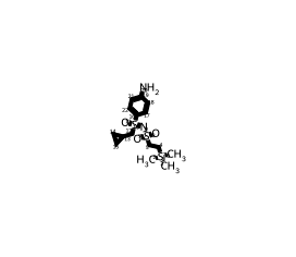 C[Si](C)(C)CCS(=O)(=O)N=S(=O)(CC1CC1)c1ccc(N)cc1